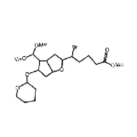 COC(=O)CCCC(Br)C1CC2C(CC(OC3CCCCO3)C2C(OC)OC)O1